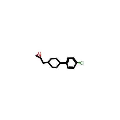 Clc1ccc(C2CCC(CC3CO3)CC2)cc1